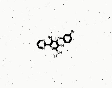 [3H]Nc1nc(-c2ncccn2)c([3H])c(Nc2cccc(Br)c2)c1[3H]